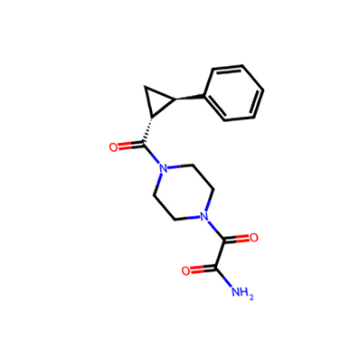 NC(=O)C(=O)N1CCN(C(=O)[C@@H]2C[C@H]2c2ccccc2)CC1